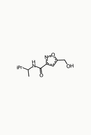 CC(C)C(C)NC(=O)c1cc(CO)on1